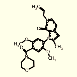 C=CCn1ccc2cc(C)n(-c3cc(OC)c(C(=O)N4CCOCC4)cc3OC)c2c1=O